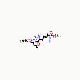 C=CC[C@@H](COC=O)NC(=O)[C@H](N)CCCCNC(=O)OC(C)(C)C